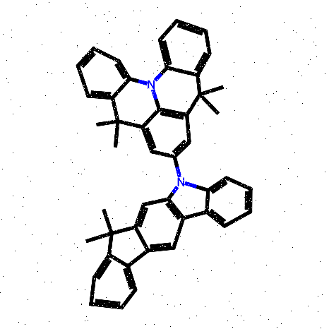 CC1(C)c2ccccc2-c2cc3c4ccccc4n(-c4cc5c6c(c4)C(C)(C)c4ccccc4N6c4ccccc4C5(C)C)c3cc21